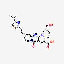 CC(C)c1csc(CCc2ccn3c(=O)c(/C=C/C(=O)O)c(N4CCCC(CO)C4)nc3c2)n1